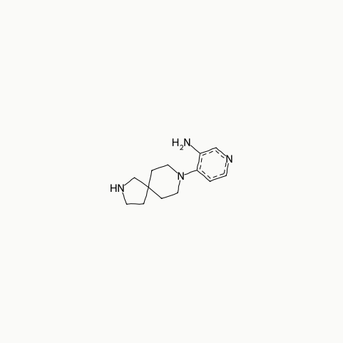 Nc1cnccc1N1CCC2(CCNC2)CC1